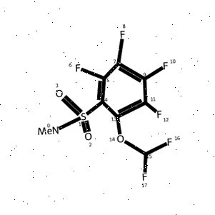 CNS(=O)(=O)c1c(F)c(F)c(F)c(F)c1OC(F)F